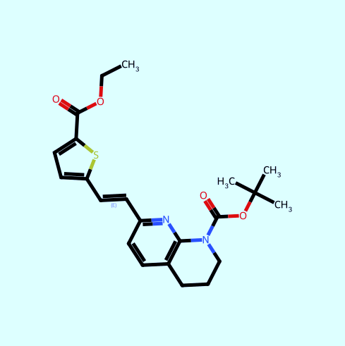 CCOC(=O)c1ccc(/C=C/c2ccc3c(n2)N(C(=O)OC(C)(C)C)CCC3)s1